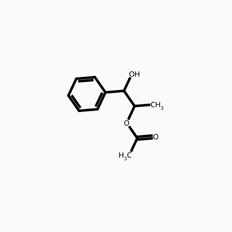 CC(=O)OC(C)C(O)c1ccccc1